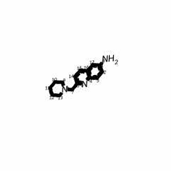 Nc1ccc2nc(CN3CCCCC3)ccc2c1